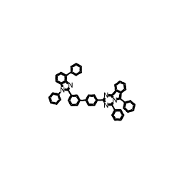 c1ccc(-c2cccc3c2nc(-c2cccc(-c4ccc(-c5nc(-c6ccccc6)n6c(-c7ccccc7)c7ccccc7c6n5)cc4)c2)n3-c2ccccc2)cc1